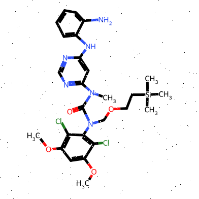 COc1cc(OC)c(Cl)c(N(COCC[Si](C)(C)C)C(=O)N(C)c2cc(Nc3ccccc3N)ncn2)c1Cl